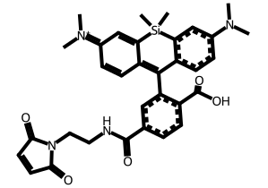 CN(C)c1ccc2c(c1)[Si](C)(C)C1=CC(=[N+](C)C)C=CC1=C2c1cc(C(=O)NCCN2C(=O)C=CC2=O)ccc1C(=O)O